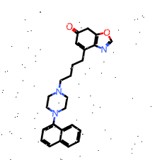 O=C1C=C(CCCCN2CCN(c3cccc4ccccc34)CC2)c2ncoc2C1